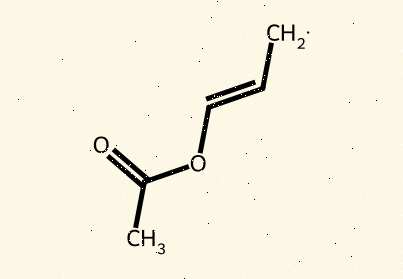 [CH2]C=COC(C)=O